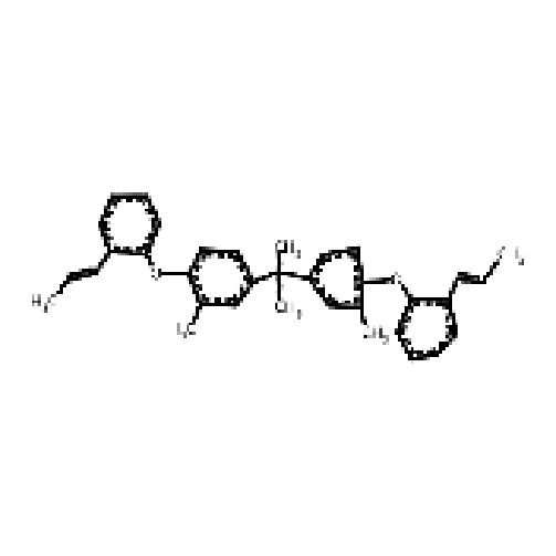 CC=Cc1ccccc1Oc1ccc(C(C)(C)c2ccc(Oc3ccccc3C=CC)c(C)c2)cc1C